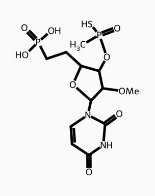 COC1C(OP(C)(=O)S)C(CCP(=O)(O)O)OC1n1ccc(=O)[nH]c1=O